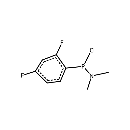 CN(C)P(Cl)c1ccc(F)cc1F